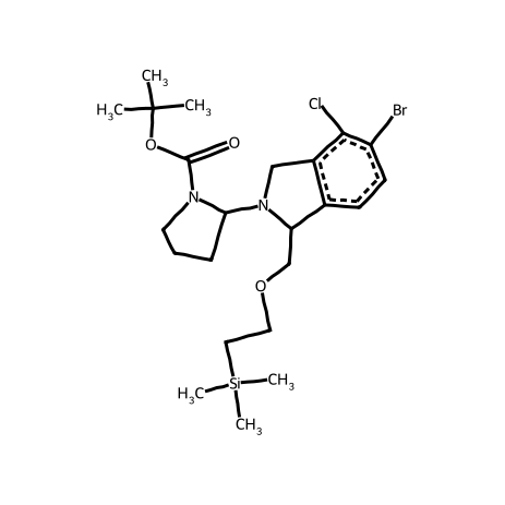 CC(C)(C)OC(=O)N1CCCC1N1Cc2c(ccc(Br)c2Cl)C1COCC[Si](C)(C)C